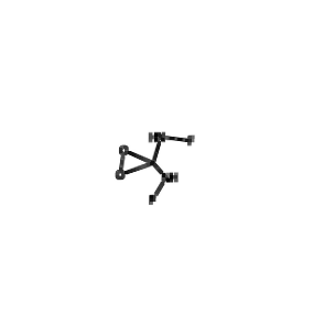 FNC1(NF)OO1